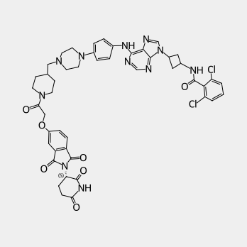 O=C1CC[C@H](N2C(=O)c3ccc(OCC(=O)N4CCC(CN5CCN(c6ccc(Nc7ncnc8c7ncn8C7CC(NC(=O)c8c(Cl)cccc8Cl)C7)cc6)CC5)CC4)cc3C2=O)C(=O)N1